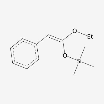 CCOC(=Cc1ccccc1)O[Si](C)(C)C